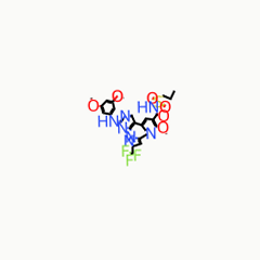 CCCS(=O)(=O)NC(=O)c1cc(-c2cnc(Nc3cc(OC)cc(OC)c3)nc2-n2nc(C(F)(F)F)cc2C)cnc1OC